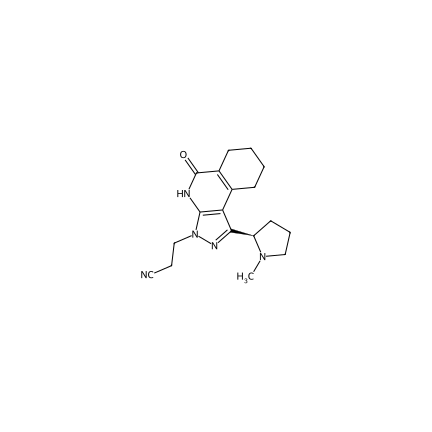 CN1CCC[C@@H]1c1nn(CCC#N)c2[nH]c(=O)c3c(c12)CCCC3